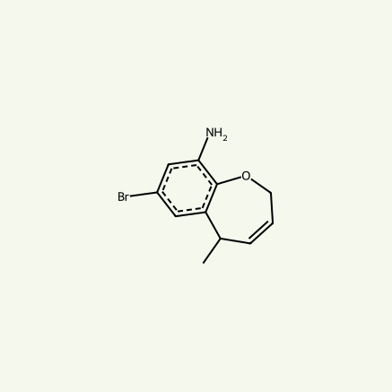 CC1C=CCOc2c(N)cc(Br)cc21